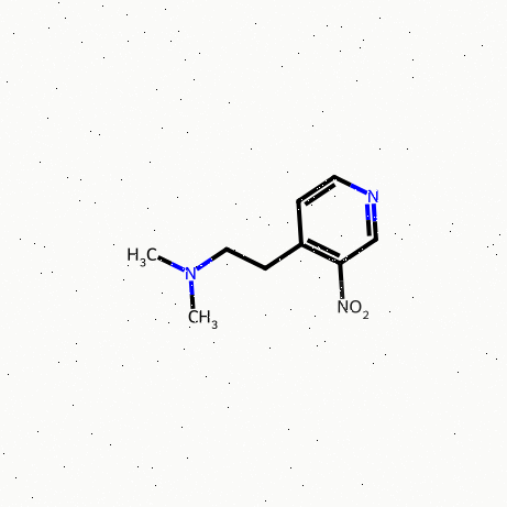 CN(C)CCc1ccncc1[N+](=O)[O-]